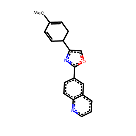 COC1=CCC(c2coc(-c3ccc4ncccc4c3)n2)C=C1